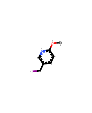 CCOc1ccc(CI)cn1